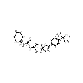 CC(C)(C)c1ccc(C2=NOC3(CCN(OC(=O)NC4CCCCC4)CC3)C2)cc1